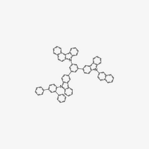 c1ccc(-c2ccc(-n3c4ccccc4c4cc(-c5cc(-c6ccc7c(c6)c6ccccc6n7-c6ccc7ccccc7c6)cc(-n6c7ccccc7c7c8ccccc8ccc76)c5)ccc43)c(-c3ccccc3)c2)cc1